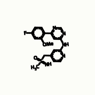 COc1cc(F)ccc1-c1cc(Nc2cc(CS(C)(=N)=O)ccn2)ncn1